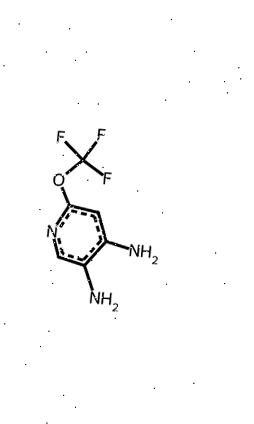 Nc1cnc(OC(F)(F)F)cc1N